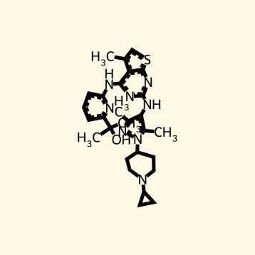 Cc1nn(C2CCN(C3CC3)CC2)c(C)c1Nc1nc(Nc2cccc(C(C)(C)O)n2)c2c(C)csc2n1